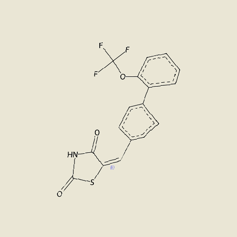 O=C1NC(=O)/C(=C\c2ccc(-c3ccccc3OC(F)(F)F)cc2)S1